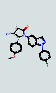 COc1ccc([C@@H]2[C@@H](N)[C@H](C)C(=O)N2c2ccc3c(cnn3-c3ccc(F)cc3)c2)cc1